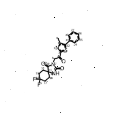 Cc1nc(C(=O)CN2C(=O)NC3(CCC(F)(F)CC3)C2=O)sc1-c1ccccc1